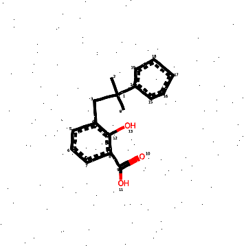 CC(C)(Cc1cccc(C(=O)O)c1O)c1ccccc1